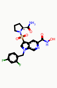 NC(=O)[C@@H]1CCCN1S(=O)(=O)c1cn(Cc2ccc(F)cc2F)c2cnc(C(=O)NO)cc12